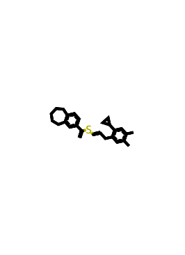 C=C(S/C=C/Cc1cc(C)c(C)cc1C1CC1)c1ccc2c(c1)CCCCC2